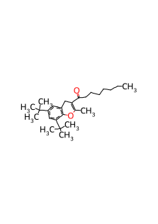 CCCCCCCC(=O)C1=C(C)Oc2c(cc(C(C)(C)C)cc2C(C)(C)C)C1